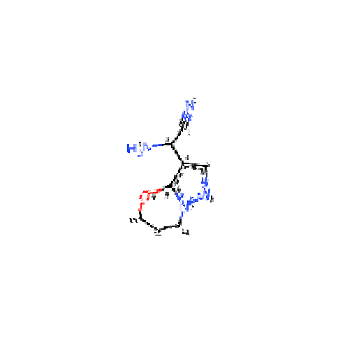 N#CC(N)c1cnn2c1OCCC2